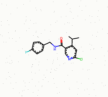 CC(C)c1cc(Cl)ncc1C(=O)NCc1ccc(F)cc1